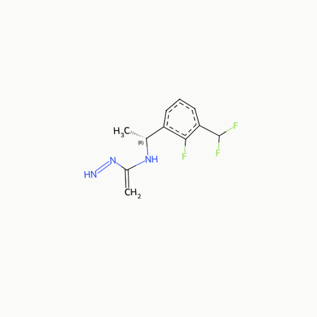 C=C(N=N)N[C@H](C)c1cccc(C(F)F)c1F